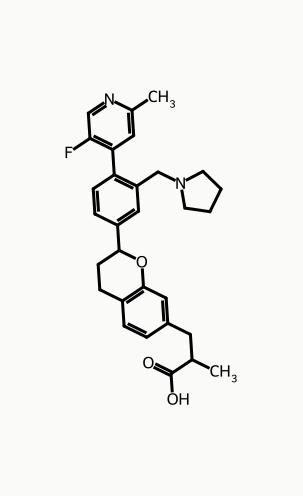 Cc1cc(-c2ccc(C3CCc4ccc(CC(C)C(=O)O)cc4O3)cc2CN2CCCC2)c(F)cn1